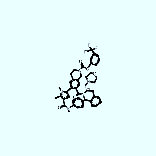 Cc1c(C(=O)N(C)c2ccccc2)cc(-c2cc3c(cc2C(=O)N2Cc4ccccc4C[C@H]2CN2CCOCC2)CN(C(=O)Oc2cccc(C(F)(F)F)c2)CC3)n1C